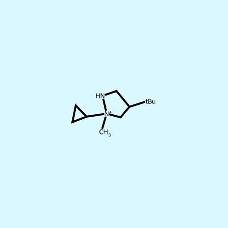 CC(C)(C)C1CN[N+](C)(C2CC2)C1